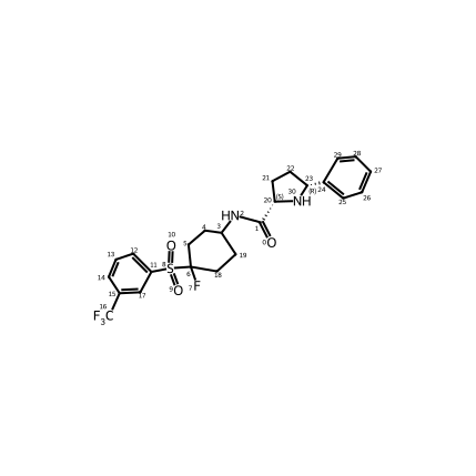 O=C(NC1CCC(F)(S(=O)(=O)c2cccc(C(F)(F)F)c2)CC1)[C@@H]1CC[C@H](c2ccccc2)N1